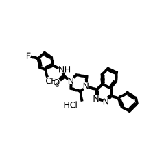 CC1CN(C(=O)Nc2ccc(F)cc2C(F)(F)F)CCN1c1nnc(-c2ccccc2)c2ccccc12.Cl